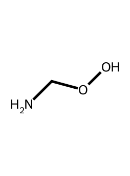 NCOO